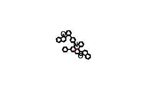 c1ccc(-c2cccc(N(c3ccc(-c4cccc5oc6c7ccccc7ccc6c45)cc3)c3ccccc3-c3cccc4oc5c6ccccc6ccc5c34)c2)cc1